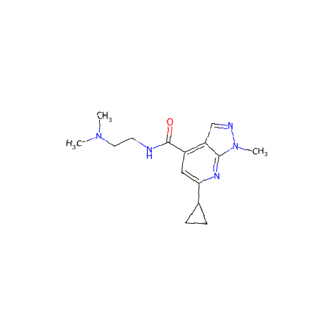 CN(C)CCNC(=O)c1cc(C2CC2)nc2c1cnn2C